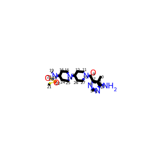 Cc1c(N)ncnc1C(=O)N1CCC(N2CCC(N(C)S(C)(=O)=O)CC2)CC1